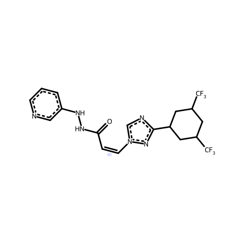 O=C(/C=C\n1cnc(C2CC(C(F)(F)F)CC(C(F)(F)F)C2)n1)NNc1cccnc1